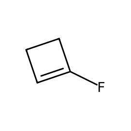 FC1=CCC1